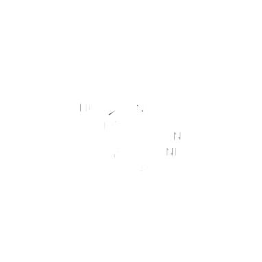 CC(=O)c1c(N2CC[C@@H]2CO)cn[nH]c1=O